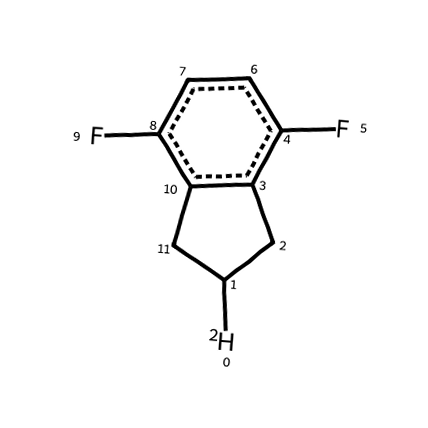 [2H]C1Cc2c(F)ccc(F)c2C1